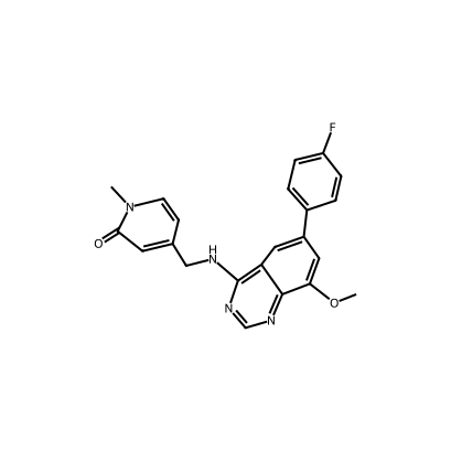 COc1cc(-c2ccc(F)cc2)cc2c(NCc3ccn(C)c(=O)c3)ncnc12